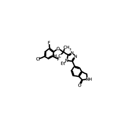 CCn1c(-c2ccc3c(c2)CNC3=O)nnc1C(C)(C)Oc1c(F)cc(Cl)cc1F